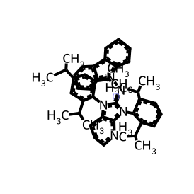 CC(C)c1cc(C(C)C)c(-n2/c(=N\n3c4ccccc4c4ccccc43)n(-c3c(C(C)C)cccc3C(C)C)c3ncccc32)c(C(C)C)c1